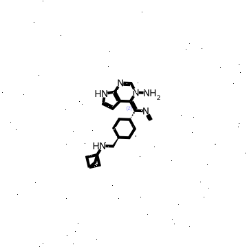 C=N/C(=C1/c2cc[nH]c2N=CN1N)[C@H]1CC[C@H](CNC23CC(C2)C3)CC1